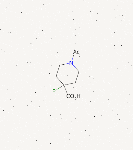 CC(=O)N1CCC(F)(C(=O)O)CC1